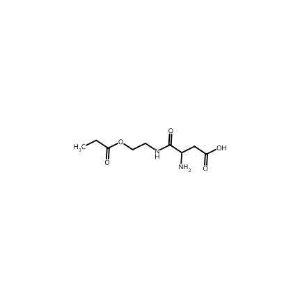 CCC(=O)OCCNC(=O)C(N)CC(=O)O